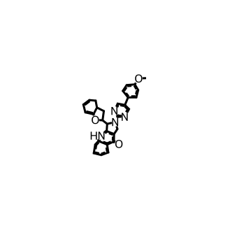 COc1ccc(-c2cnc(N3Cc4c([nH]c5ccccc5c4=O)C3C3CC4CC=CC=C4O3)nc2)cc1